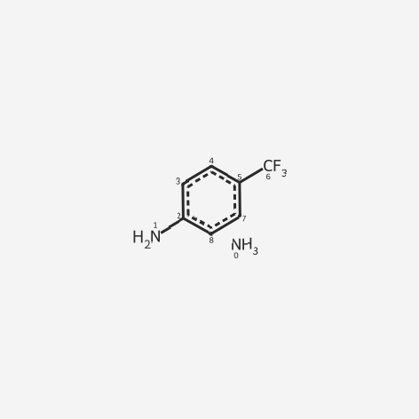 N.Nc1ccc(C(F)(F)F)cc1